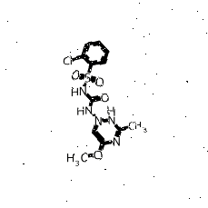 COC1=CN(NC(=O)NS(=O)(=O)c2ccccc2Cl)NC(C)=N1